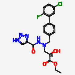 CCOC(=O)[C@H](O)CN(Cc1ccc(-c2cc(Cl)ccc2F)cc1)NC(=O)c1c[nH]nn1